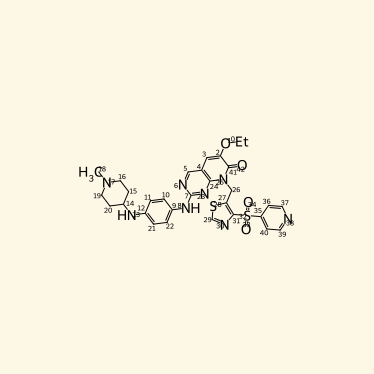 CCOc1cc2cnc(Nc3ccc(NC4CCN(C)CC4)cc3)nc2n(Cc2scnc2S(=O)(=O)c2ccncc2)c1=O